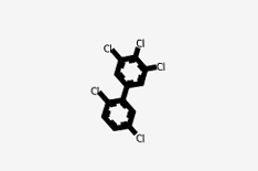 Clc1ccc(Cl)c(-c2cc(Cl)c(Cl)c(Cl)c2)c1